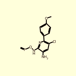 C=PONc1nc(-c2ccc(OC)cc2)c(Cl)cc1N